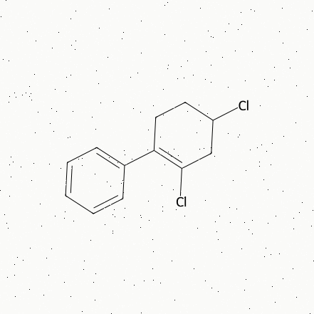 ClC1=C(c2ccccc2)CCC(Cl)C1